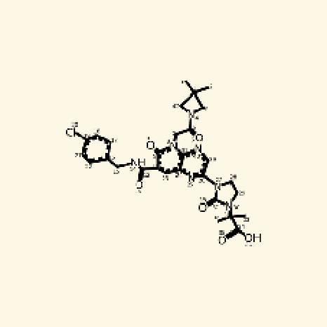 CC1(C)CN(C(=O)Cn2c(=O)c(C(=O)NCc3ccc(Cl)cc3)cc3nc(N4CCN(C(C)(C)C(=O)O)C4=O)cnc32)C1